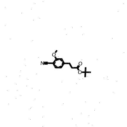 COc1cc(CCC(=O)OC(C)(C)C)ccc1C#N